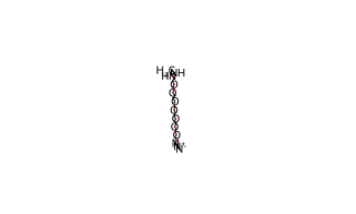 CNNCCOCCOCCOCCOCCOCCOCCOCCN=[N+]=[N-]